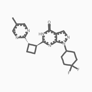 Cc1cnc([C@H]2CC[C@@H]2c2nc3c(cnn3C3CCC(F)(F)CC3)c(=O)[nH]2)nc1